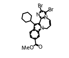 COC(=O)c1ccc2c(C3CCCCC3)c3n(c2c1)CC=Cn1c-3nc(Br)c1Br